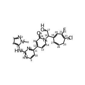 Cn1nccc1Nc1nccc(-c2ccn(C(CO)C3=CC(F)=C(Cl)CC=C3)c(=O)c2)n1